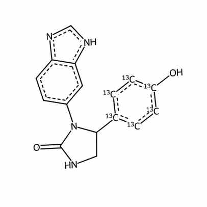 O=C1NCC([13c]2[13cH][13cH][13c](O)[13cH][13cH]2)N1c1ccc2nc[nH]c2c1